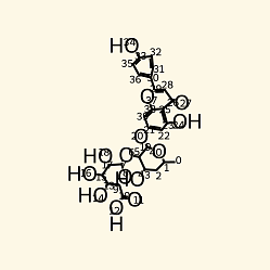 CC1CC(O)C(OC2OC(C(=O)O)C(O)C(O)C2O)C(Oc2cc(O)c3c(=O)cc(-c4ccc(O)cc4)oc3c2)O1